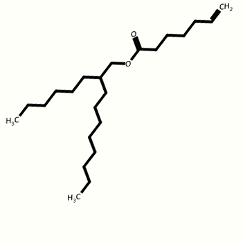 C=CCCCCC(=O)OCC(CCCCCC)CCCCCCCC